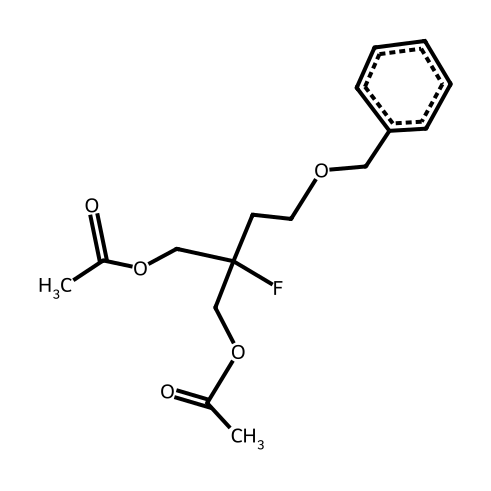 CC(=O)OCC(F)(CCOCc1ccccc1)COC(C)=O